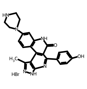 Br.Cc1n[nH]c2nc(-c3ccc(O)cc3)c3c(=O)[nH]c4cc(N5CCNCC5)ccc4c3c12